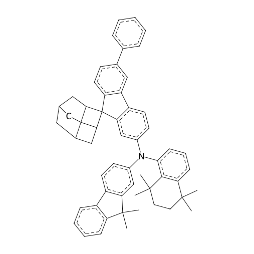 CC1(C)CCC(C)(C)c2c(N(c3ccc4c(c3)C(C)(C)c3ccccc3-4)c3ccc4c(c3)C3(c5ccc(-c6ccccc6)cc5-4)C4CC5CC6CC3C64C5)cccc21